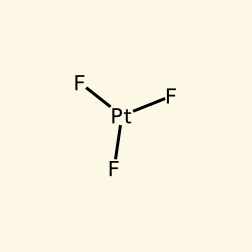 [F][Pt]([F])[F]